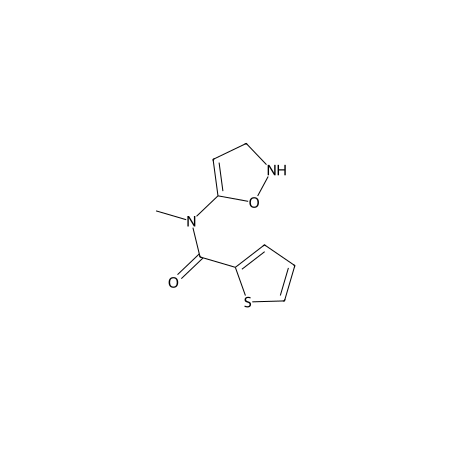 CN(C(=O)c1cccs1)C1=CCNO1